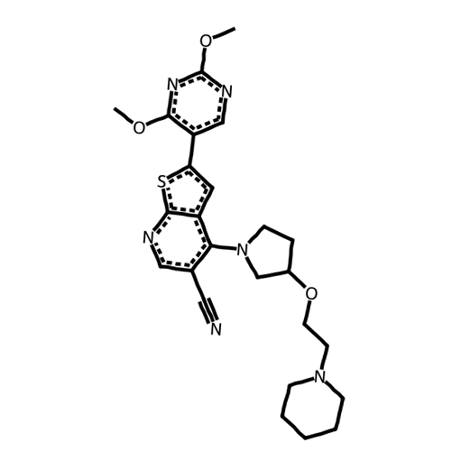 COc1ncc(-c2cc3c(N4CCC(OCCN5CCCCC5)C4)c(C#N)cnc3s2)c(OC)n1